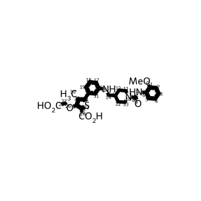 COc1ccccc1NC(=O)N1CCC(CNc2cccc(-c3sc(C(=O)O)c(OCC(=O)O)c3C)c2)CC1